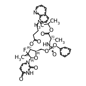 CC(C)OC(=O)[C@H](C)N[P@](=O)(OC[C@H]1O[C@@H](n2ccc(=O)[nH]c2=O)[C@](C)(F)[C@@H]1OC(=O)CCCn1ccc2cccnc21)Oc1ccccc1